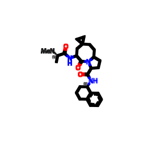 CN[C@@H](C)C(=O)NC1CC2(CCC3CCC(C(=O)N[C@@H]4CCCc5ccccc54)N3C1=O)CC2